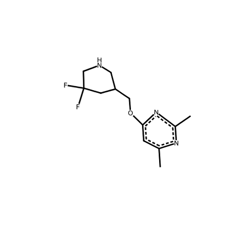 Cc1cc(OCC2CNCC(F)(F)C2)nc(C)n1